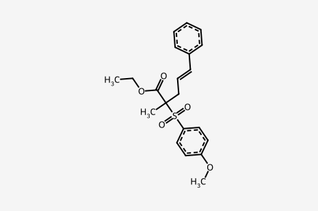 CCOC(=O)C(C)(CC=Cc1ccccc1)S(=O)(=O)c1ccc(OC)cc1